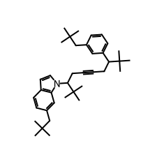 CC(C)(C)Cc1cccc(C(CC#CCC(n2ccc3ccc(CC(C)(C)C)cc32)C(C)(C)C)C(C)(C)C)c1